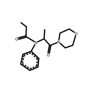 CCC(=O)N(c1ccccc1)C(C)C(=O)N1CCOCC1